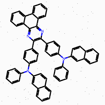 c1ccc(N(c2ccc(-c3nc4c5ccccc5c5ccccc5c4nc3-c3ccc(N(c4ccccc4)c4ccc5ccccc5c4)cc3)cc2)c2ccc3ccccc3c2)cc1